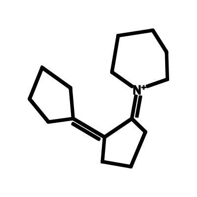 C1CC[N+](=C2CCCC2=C2CCCC2)CC1